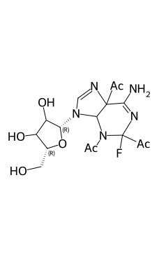 CC(=O)N1C2N([C@@H]3O[C@H](CO)C(O)C3O)C=NC2(C(C)=O)C(N)=NC1(F)C(C)=O